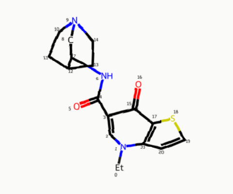 CCn1cc(C(=O)NC2CN3CCC2CC3)c(=O)c2sccc21